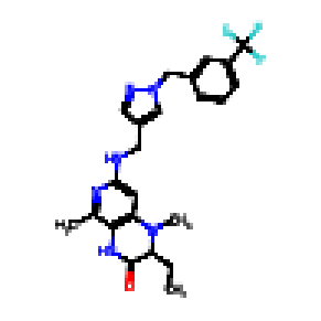 CC[C@H]1C(=O)Nc2c(cc(NCc3cnn(Cc4cccc(C(F)(F)F)c4)c3)nc2C)N1C